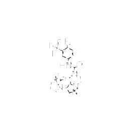 C[C@H]1Cn2ncc(N3CCCS3(=O)=O)c2CN1C(=O)Nc1ccc(F)c(C(F)(F)F)c1